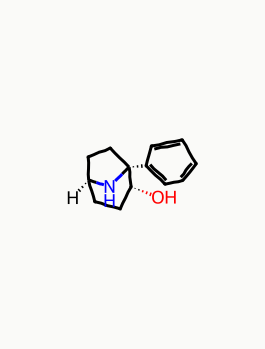 O[C@@H]1CC[C@H]2CC[C@]1(c1ccccc1)N2